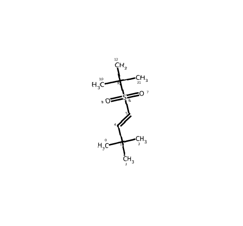 CC(C)(C)/C=C/S(=O)(=O)C(C)(C)C